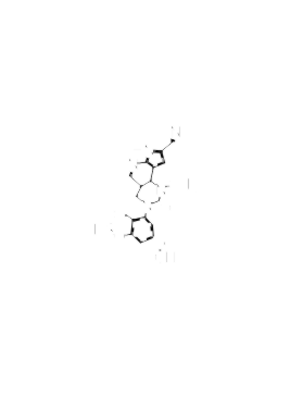 COc1cc(OC)c(Cl)c(N2CC3C=Nc4[nH]c(C#N)cc4C3N(C)C2=O)c1